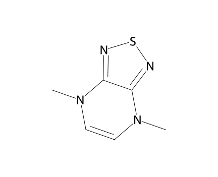 CN1C=CN(C)c2nsnc21